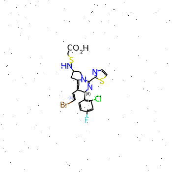 O=C(O)CSNC1CC2=C(/C=C/Br)[C@H](c3ccc(F)cc3Cl)N=C(c3nccs3)N2C1